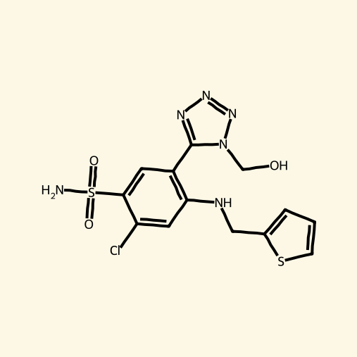 NS(=O)(=O)c1cc(-c2nnnn2CO)c(NCc2cccs2)cc1Cl